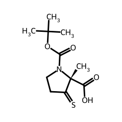 CC(C)(C)OC(=O)N1CCC(=S)[C@@]1(C)C(=O)O